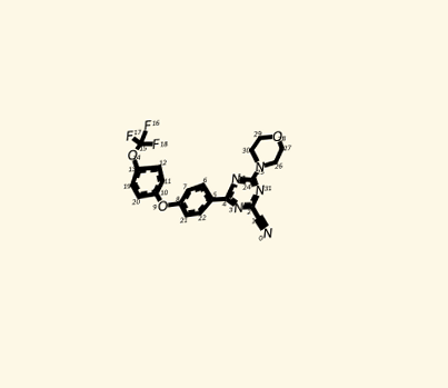 N#Cc1nc(-c2ccc(Oc3ccc(OC(F)(F)F)cc3)cc2)nc(N2CCOCC2)n1